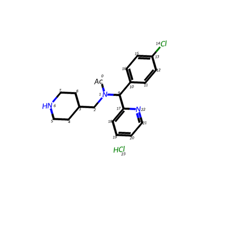 CC(=O)N(CC1CCNCC1)C(c1ccc(Cl)cc1)c1ccccn1.Cl